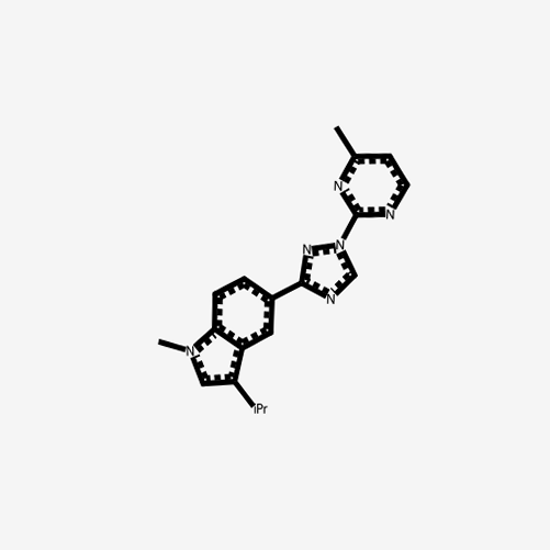 Cc1ccnc(-n2cnc(-c3ccc4c(c3)c(C(C)C)cn4C)n2)n1